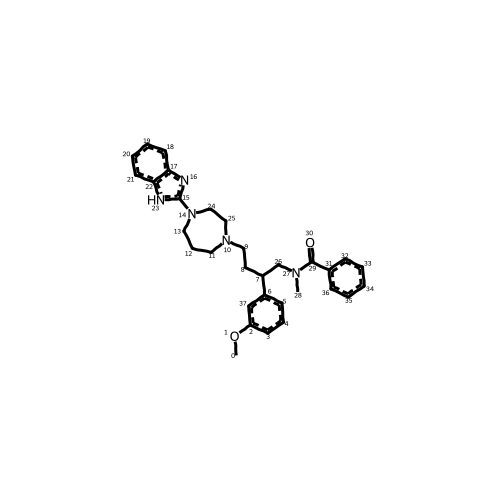 COc1cccc(C(CCN2CCCN(c3nc4ccccc4[nH]3)CC2)CN(C)C(=O)c2ccccc2)c1